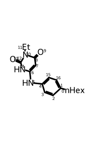 CCCCCCc1ccc(Nc2cc(=O)n(CC)c(=O)[nH]2)cc1